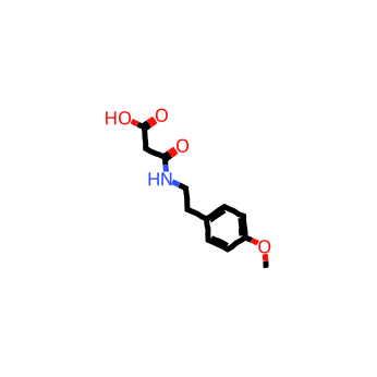 COc1ccc(CCNC(=O)CC(=O)O)cc1